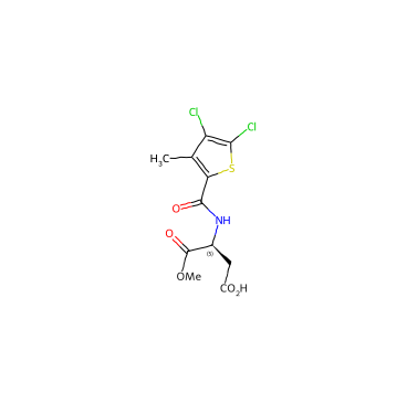 COC(=O)[C@H](CC(=O)O)NC(=O)c1sc(Cl)c(Cl)c1C